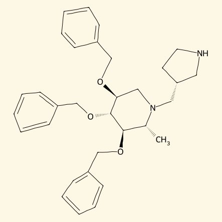 C[C@@H]1[C@@H](OCc2ccccc2)[C@H](OCc2ccccc2)[C@@H](OCc2ccccc2)CN1C[C@@H]1CCNC1